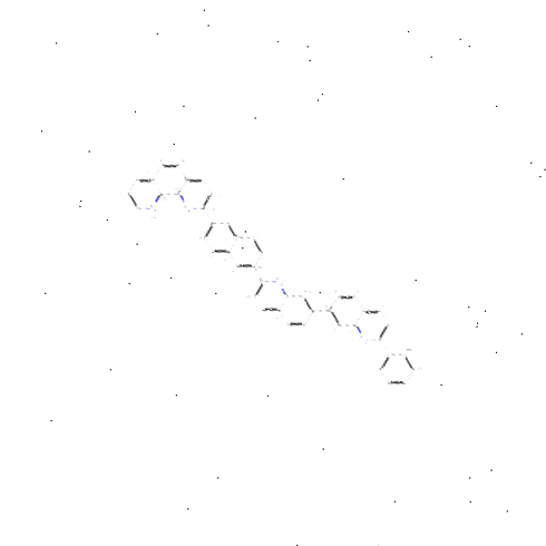 c1ccc(-c2ccc3ccc(-c4ccc5ccc(-c6ccc7cc(-c8ccc9ccc%10cccnc%10c9n8)ccc7c6)nc5c4)cc3n2)cc1